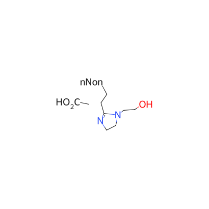 CC(=O)O.CCCCCCCCCCCC1=NCCN1CCO